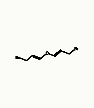 BrCC=COC=CCBr